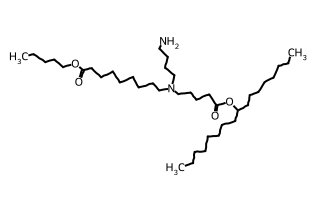 CCCCCCCCC(CCCCCCCC)OC(=O)CCCCN(CCCCN)CCCCCCCCC(=O)OCCCCC